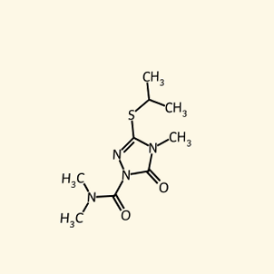 CC(C)Sc1nn(C(=O)N(C)C)c(=O)n1C